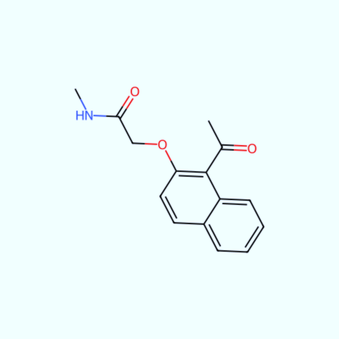 CNC(=O)COc1ccc2ccccc2c1C(C)=O